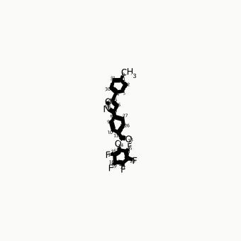 Cc1ccc(-c2cc(-c3ccc(C(=O)Oc4c(F)c(F)c(F)c(F)c4F)cc3)no2)cc1